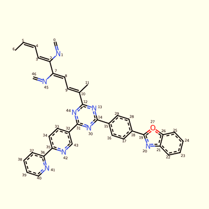 C=NC(=C\C=C/C)/C(=C/C=C(\C)c1nc(-c2ccc(-c3nc4ccccc4o3)cc2)nc(-c2ccc(-c3ccccn3)nc2)n1)N=C